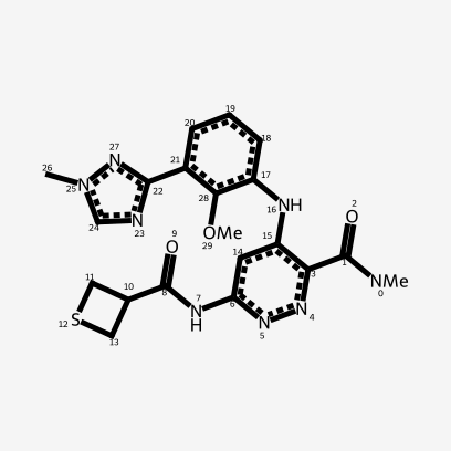 CNC(=O)c1nnc(NC(=O)C2CSC2)cc1Nc1cccc(-c2ncn(C)n2)c1OC